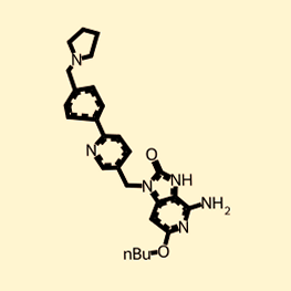 CCCCOc1cc2c([nH]c(=O)n2Cc2ccc(-c3ccc(CN4CCCC4)cc3)nc2)c(N)n1